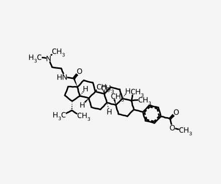 COC(=O)c1ccc(C2CC[C@]3(C)[C@H]4CC[C@@H]5[C@H]6[C@H](C(C)C)CC[C@]6(C(=O)NCCN(C)C)CC[C@@]5(C)[C@]4(C)CC[C@H]3C2(C)C)cc1